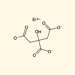 O=C([O-])CC(O)(CC(=O)[O-])C(=O)[O-].[Er+3]